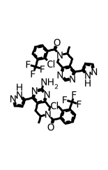 CC1Cc2c(nc(N)nc2-c2ccn[nH]2)CN1C(=O)c1cccc(C(F)(F)F)c1Cl.CC1Cc2c(ncnc2-c2ccn[nH]2)CN1C(=O)c1cccc(C(F)(F)F)c1Cl